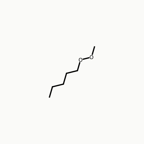 CCCCCOOC